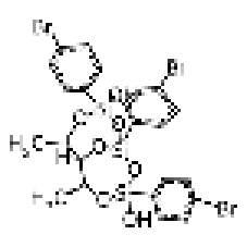 C[C@@H]1O[Si](O)(c2ccc(Br)cc2)O[Si]2(c3ccc(Br)cc3)O[C@@H]1[C@@H](C)O[Si](O)(c1ccc(Br)cc1)O2